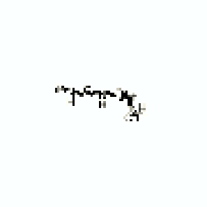 CCC(=O)NCC(F)C(C)(C)OCCNCCOCCNC(C)C